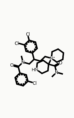 CN(C)C(=O)C1([N+]2(CCC(CN(C)C(=O)c3cccc(Cl)c3)c3ccc(Cl)c(Cl)c3)CCCCC2)CCNCC1